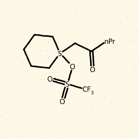 CCCC(=O)CS1(OS(=O)(=O)C(F)(F)F)CCCCC1